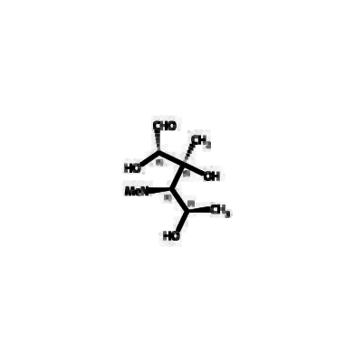 CN[C@H]([C@@H](C)O)[C@](C)(O)[C@H](O)C=O